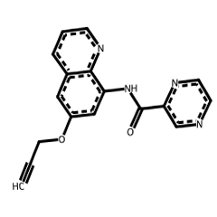 C#CCOc1cc(NC(=O)c2cnccn2)c2ncccc2c1